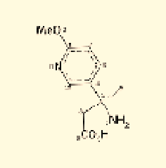 COc1ccc([C@@](C)(N)CC(=O)O)cn1